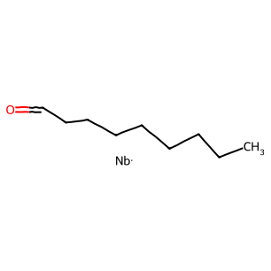 CCCCCCCCC=O.[Nb]